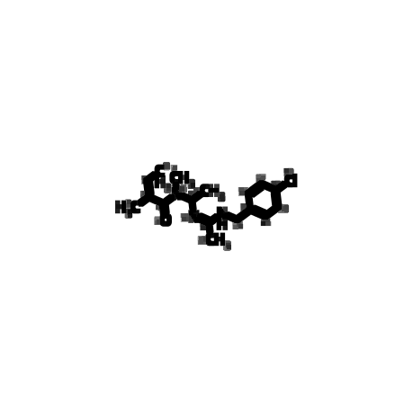 C/C=C(/C)C(=O)N(C)C(C)/N=C(/C)NCc1ccc(Cl)cc1